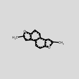 Cc1cc2c(ccc3c4cc(C)oc4ccc23)o1